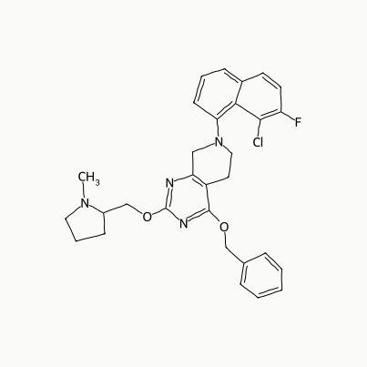 CN1CCCC1COc1nc2c(c(OCc3ccccc3)n1)CCN(c1cccc3ccc(F)c(Cl)c13)C2